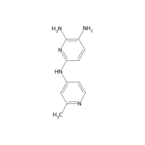 Cc1cc(Nc2ccc(N)c(N)n2)ccn1